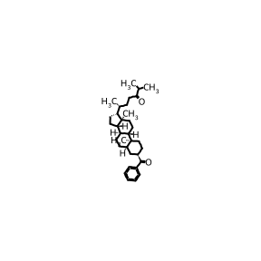 CC(C)C(=O)CC[C@@H](C)[C@H]1CC[C@H]2[C@@H]3CC[C@@H]4C[C@H](C(=O)c5ccccc5)CC[C@]4(C)[C@H]3CC[C@]12C